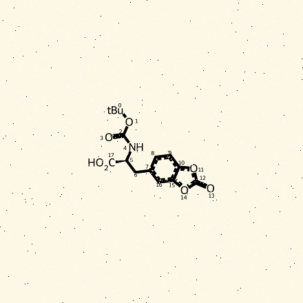 CC(C)(C)OC(=O)N[C@@H](Cc1ccc2oc(=O)oc2c1)C(=O)O